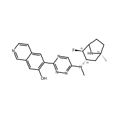 CN(c1cnc(-c2cc3ccncc3cc2O)nn1)[C@H]1C[C@]2(C)CCC(N2)[C@@H]1F